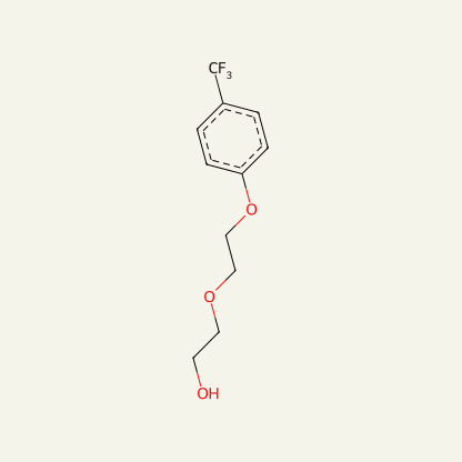 OCCOCCOc1ccc(C(F)(F)F)cc1